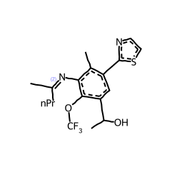 CCC/C(C)=N\c1c(C)c(-c2nccs2)cc(C(C)O)c1OC(F)(F)F